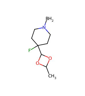 BN1CCC(F)(C2OC(C)O2)CC1